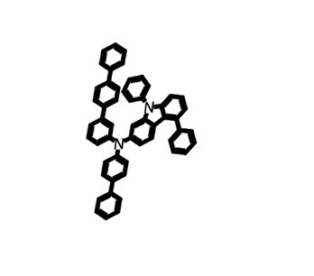 c1ccc(-c2ccc(-c3cccc(N(c4ccc(-c5ccccc5)cc4)c4ccc5c6c(-c7ccccc7)cccc6n(-c6ccccc6)c5c4)c3)cc2)cc1